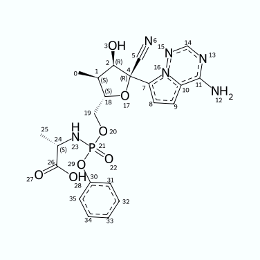 C[C@H]1[C@@H](O)[C@](C#N)(c2ccc3c(N)ncnn23)O[C@@H]1COP(=O)(N[C@@H](C)C(=O)O)Oc1ccccc1